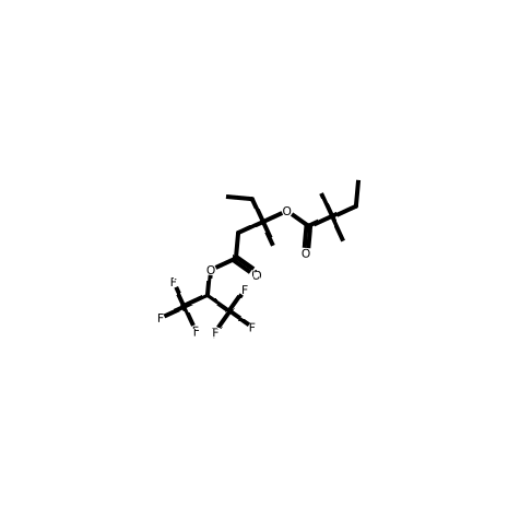 CCC(C)(CC(=O)OC(C(F)(F)F)C(F)(F)F)OC(=O)C(C)(C)CC